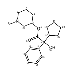 CN1CCCC(OC(=O)C(O)(c2ccccc2)C2CCCC2)C1